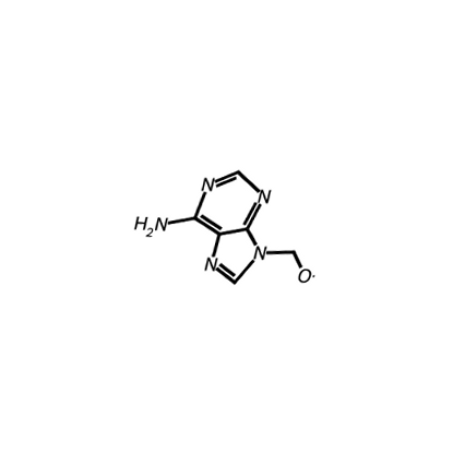 Nc1ncnc2c1ncn2C[O]